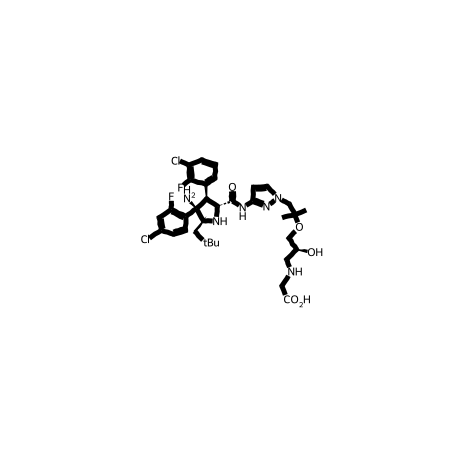 CC(C)(C)C[C@@H]1N[C@@H](C(=O)Nc2ccn(CC(C)(C)OC[C@@H](O)CNCC(=O)O)n2)[C@H](c2cccc(Cl)c2F)[C@@]1(N)c1ccc(Cl)cc1F